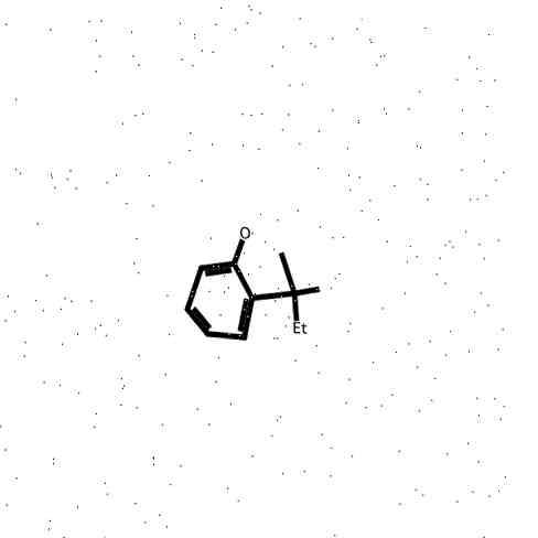 CCC(C)(C)c1ccccc1[O]